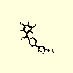 Nc1cc(C2CCN(C(=O)c3c(F)c(F)c(F)c(F)c3F)CC2)no1